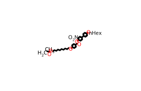 C=C(C)C(=O)OCCCCCCCCCCOc1ccc(C(=O)Oc2ccc(-c3ccc(OCCCCCC)cc3)cc2[N+](=O)[O-])cc1